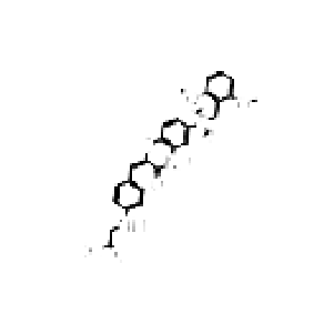 COc1cccc(OC)c1CS(=O)(=O)c1ccc2c(c1)NC(=O)/C(=C\c1ccc(NCC(=O)O)cc1)S2